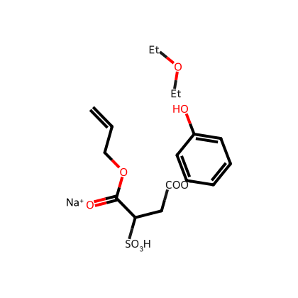 C=CCOC(=O)C(CC(=O)[O-])S(=O)(=O)O.CCOCC.Oc1ccccc1.[Na+]